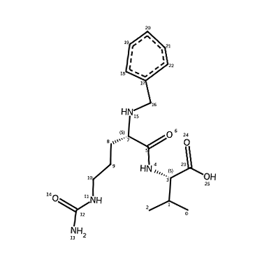 CC(C)[C@H](NC(=O)[C@H](CCCNC(N)=O)NCc1ccccc1)C(=O)O